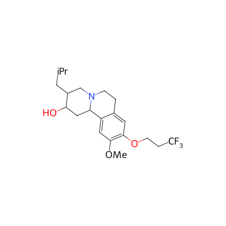 COc1cc2c(cc1OCCC(F)(F)F)CCN1CC(CC(C)C)C(O)CC21